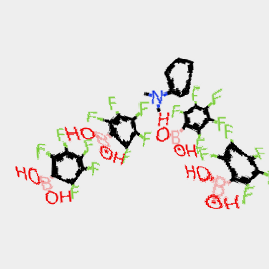 CN(C)c1ccccc1.OB(O)c1c(F)c(F)c(F)c(F)c1F.OB(O)c1c(F)c(F)c(F)c(F)c1F.OB(O)c1c(F)c(F)c(F)c(F)c1F.OB(O)c1c(F)c(F)c(F)c(F)c1F